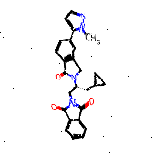 Cn1nccc1-c1ccc2c(c1)CN([C@H](CC1CC1)CN1C(=O)c3ccccc3C1=O)C2=O